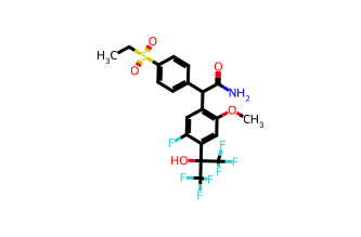 CCS(=O)(=O)c1ccc(C(C(N)=O)c2cc(F)c(C(O)(C(F)(F)F)C(F)(F)F)cc2OC)cc1